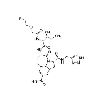 CC[C@H](C)[C@H](NC(=O)COCCF)C(=O)N[C@H]1CCc2cc(C(=O)O)cc3c2N(C1=O)[C@H](C(=O)NCc1c[nH]nn1)C3